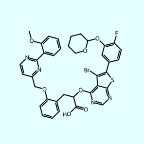 COc1ccccc1-c1nccc(COc2ccccc2CC(Oc2ncnc3sc(-c4ccc(F)c(OC5CCCCO5)c4)c(Br)c23)C(=O)O)n1